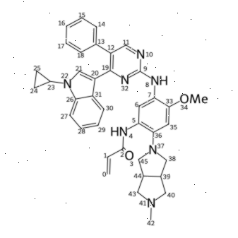 C=CC(=O)Nc1cc(Nc2ncc(-c3ccccc3)c(-c3cn(C4CC4)c4ccccc34)n2)c(OC)cc1N1CC2CN(C)CC2C1